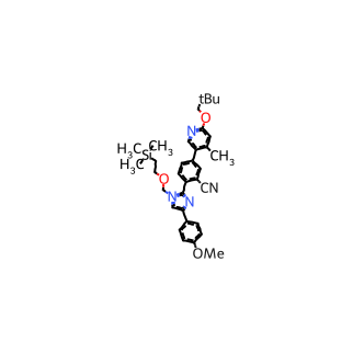 COc1ccc(-c2cn(COCC[Si](C)(C)C)c(-c3ccc(-c4cnc(OCC(C)(C)C)cc4C)cc3C#N)n2)cc1